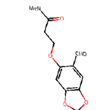 CNC(=O)CCOc1cc2c(cc1C=O)OCO2